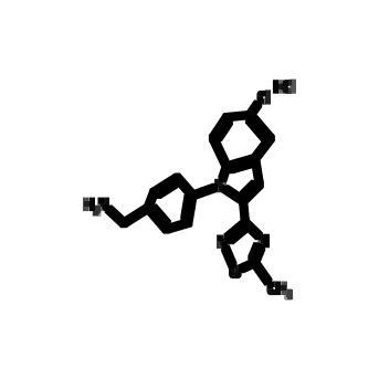 Cc1nc(-c2cc3cc(Cl)ccc3n2-c2ccc(CN)cc2)no1.Cl